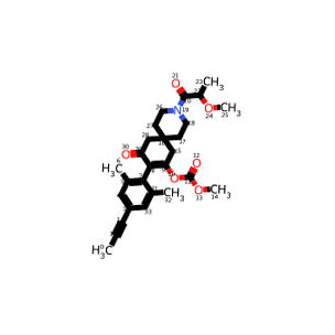 CC#Cc1cc(C)c(C2=C(OC(=O)OC)CC3(CCN(C(=O)C(C)OC)CC3)CC2=O)c(C)c1